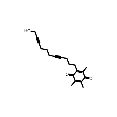 CC1=C(C)C(=O)C(CCCC#CCCCC#CCO)=C(C)C1=O